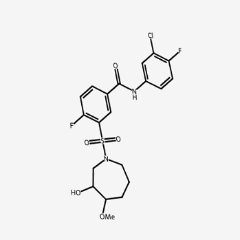 COC1CCCN(S(=O)(=O)c2cc(C(=O)Nc3ccc(F)c(Cl)c3)ccc2F)CC1O